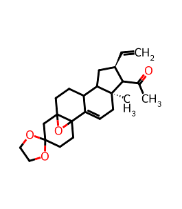 C=C[C@@H]1CC2C3CCC45CC6(CCC4(O5)C3=CC[C@]2(C)C1C(C)=O)OCCO6